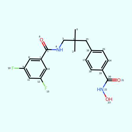 CC(C)(CNC(=O)c1cc(F)cc(F)c1)Cc1ccc(C(=O)NO)cc1